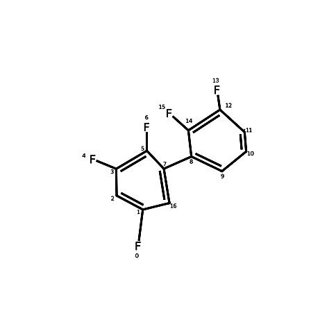 Fc1cc(F)c(F)c(-c2cc[c]c(F)c2F)c1